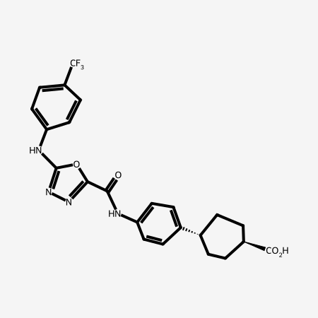 O=C(Nc1ccc([C@H]2CC[C@H](C(=O)O)CC2)cc1)c1nnc(Nc2ccc(C(F)(F)F)cc2)o1